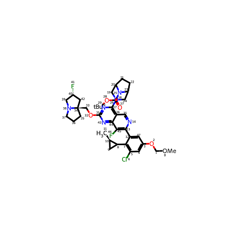 COCOc1cc(Cl)c(C2C[C@H]2C)c(-c2ncc3c(N4CC5CCC(C4)N5C(=O)OC(C)(C)C)nc(OC[C@@]45CCCN4C[C@H](F)C5)nc3c2F)c1